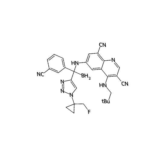 BC(Nc1cc(C#N)c2ncc(C#N)c(NCC(C)(C)C)c2c1)(c1cccc(C#N)c1)c1cn(C2(CF)CC2)nn1